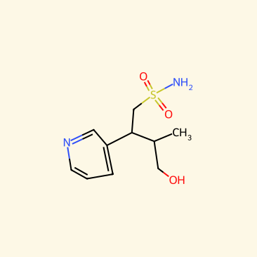 CC(CO)C(CS(N)(=O)=O)c1cccnc1